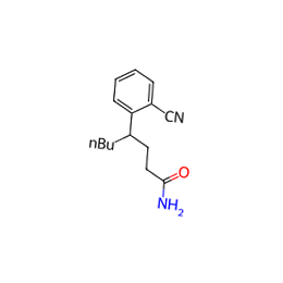 CCCCC(CCC(N)=O)c1ccccc1C#N